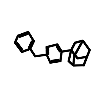 c1ccc(Cc2ccc(C34CC5CC(CC(C5)C3)C4)cc2)cc1